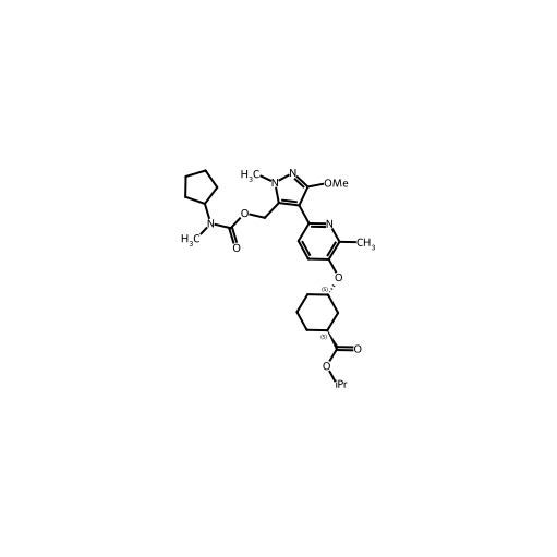 COc1nn(C)c(COC(=O)N(C)C2CCCC2)c1-c1ccc(O[C@H]2CCC[C@H](C(=O)OC(C)C)C2)c(C)n1